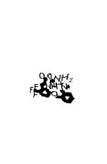 CN(C)Cc1ccccc1COc1ccc(C(F)(F)F)c2cc(C(=O)N(C)C(=N)N)[nH]c12